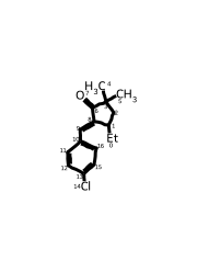 CCC1CC(C)(C)C(=O)C1=Cc1ccc(Cl)cc1